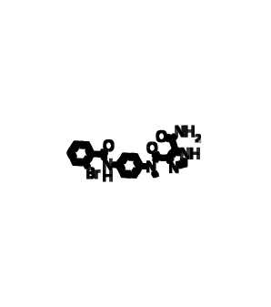 CN(C(=O)c1nc[nH]c1C(N)=O)c1ccc(NC(=O)c2ccccc2Br)cc1